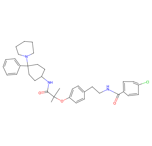 CC(C)(Oc1ccc(CCNC(=O)c2ccc(Cl)cc2)cc1)C(=O)NC1CCC(c2ccccc2)(N2CCCCC2)CC1